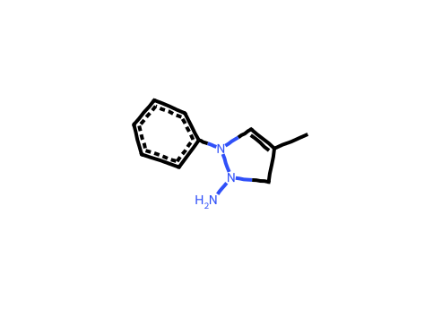 CC1=CN(c2ccccc2)N(N)C1